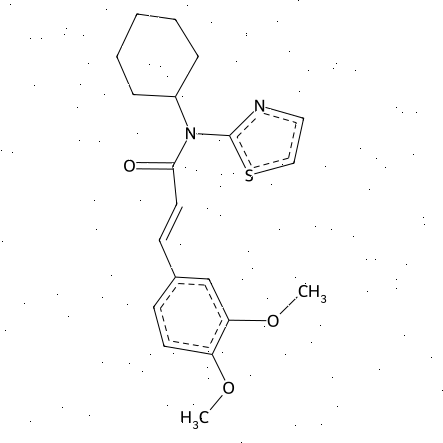 COc1ccc(/C=C/C(=O)N(c2nccs2)C2CCCCC2)cc1OC